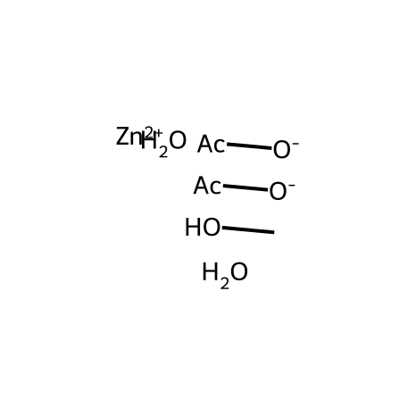 CC(=O)[O-].CC(=O)[O-].CO.O.O.[Zn+2]